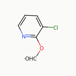 O=[C]Oc1ncccc1Cl